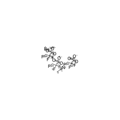 CC#N.O=S(=O)([O-])C(F)(F)CF.O=S(=O)([O-])C(F)(F)CF.O=S(=O)([O-])C(F)(F)CF.[Ru+3]